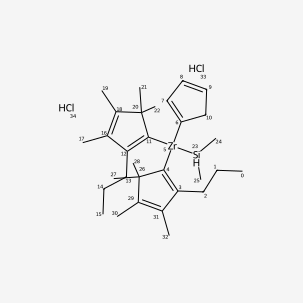 CCCC1=[C]([Zr]([C]2=CC=CC2)([C]2=C(CCC)C(C)=C(C)C2(C)C)[SiH](C)C)C(C)(C)C(C)=C1C.Cl.Cl